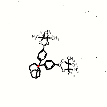 CC1(C)OB(c2ccc(C3(c4ccc(B5OC(C)(C)C(C)(C)O5)cc4)C4CC5CC(C4)CC3C5)cc2)OC1(C)C